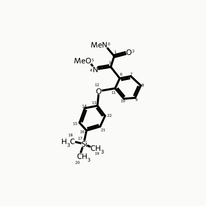 CNC(=O)C(=NOC)c1ccccc1Oc1ccc([Si](C)(C)C)cc1